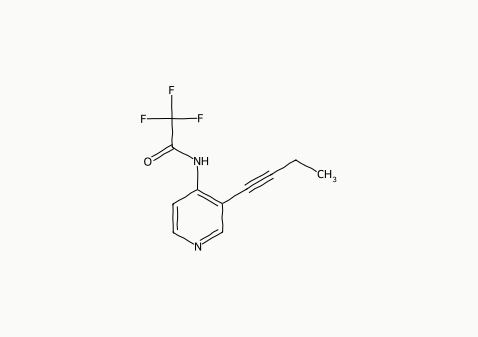 CCC#Cc1cnccc1NC(=O)C(F)(F)F